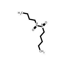 CCCCC[PH](=O)[PH](=O)CCCC